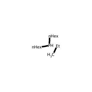 CCC.CCCCCCPCCCCCC